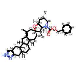 CC1=C2C[C@H]3C(CC[C@@H]4Cc5n[nH]cc5C[C@@]43C)[C@@H]2CC[C@@]2(C1)O[C@@H]1C[C@H](C)CN(C(=O)OCc3ccccc3)[C@H]1[C@H]2C